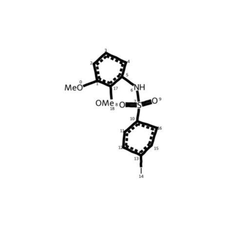 COc1cccc(NS(=O)(=O)c2ccc(I)cc2)c1OC